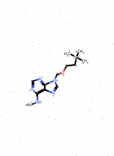 CCCCNc1ncnc2c1ncn2COCC[Si](C)(C)C